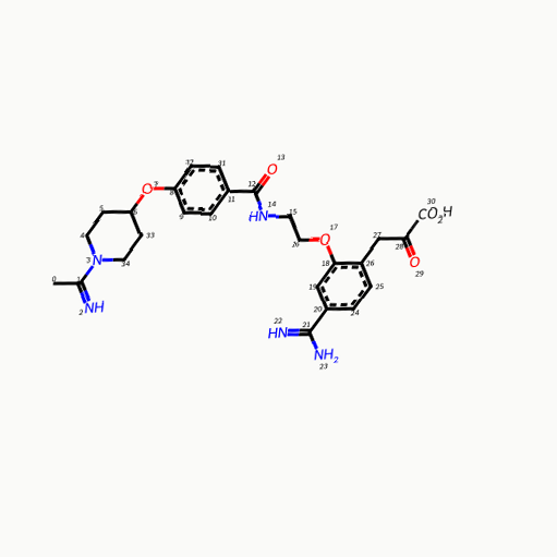 CC(=N)N1CCC(Oc2ccc(C(=O)NCCOc3cc(C(=N)N)ccc3CC(=O)C(=O)O)cc2)CC1